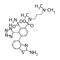 CN(C)CCCN(C)S(=O)(=O)c1ccc(-c2cccc3sc(N)nc23)c(-c2nnn[nH]2)c1S(N)(=O)=O